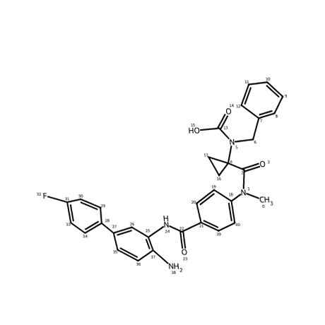 CN(C(=O)C1(N(Cc2ccccc2)C(=O)O)CC1)c1ccc(C(=O)Nc2cc(-c3ccc(F)cc3)ccc2N)cc1